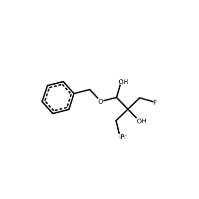 CC(C)CC(O)(CF)C(O)OCc1ccccc1